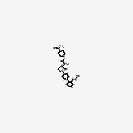 N=C(N)c1ccc(NC(=O)[C@H](O)[C@H]2OCCN(c3ccc(-c4ccccc4CCO)cc3)C2=O)cc1